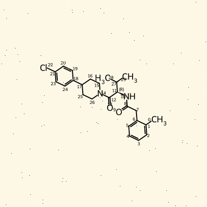 Cc1ccccc1CC(=O)N[C@@H](C(=O)N1CCC(c2ccc(Cl)cc2)CC1)C(C)C